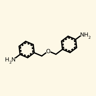 Nc1ccc(COCc2cccc(N)c2)cc1